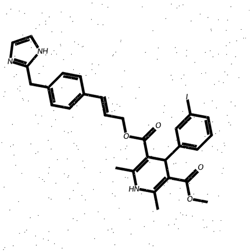 COC(=O)C1=C(C)NC(C)=C(C(=O)OCC=Cc2ccc(Cc3ncc[nH]3)cc2)C1c1cccc(I)c1